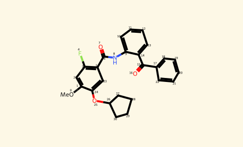 COc1cc(F)c(C(=O)Nc2ccccc2C(=O)c2ccccc2)cc1OC1CCCC1